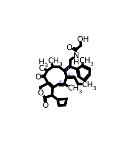 CC/C=C1C(\C)=C\C2=C(COC(=O)C2C2CCC2)C(=O)C(C)C(C)CC\1=C(/CNC(=O)CO)c1ccccc1C